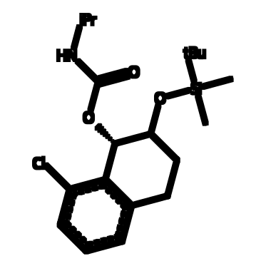 CC(C)NC(=O)O[C@H]1c2c(Cl)cccc2CCC1O[Si](C)(C)C(C)(C)C